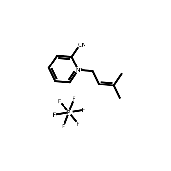 CC(C)=CC[n+]1ccccc1C#N.F[P-](F)(F)(F)(F)F